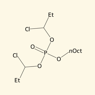 CCCCCCCCOP(=O)(OC(Cl)CC)OC(Cl)CC